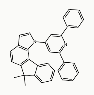 CC1(C)c2ccccc2-c2c1ccc1ccn(-c3cc(-c4ccccc4)nc(-c4ccccc4)c3)c21